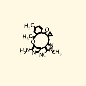 Cc1ccc2c(c1)[C@@H](C)Oc1cc(cnc1N)-c1c(nn(C)c1C#N)CC1(CC1)C2=O